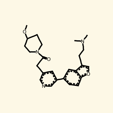 COC1CCN(C(=O)Cc2cncc(-c3ccc4occ(CCN(C)C)c4c3)c2)CC1